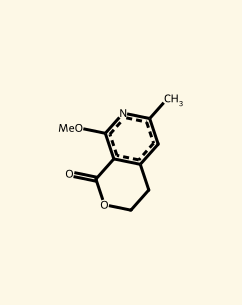 COc1nc(C)cc2c1C(=O)OCC2